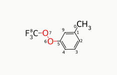 Cc1cccc(OOC(F)(F)F)c1